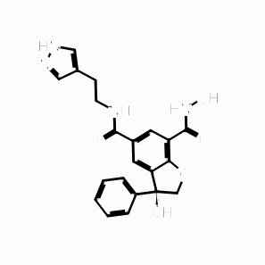 CNC(=O)c1cc(C(=O)NCCc2cn[nH]c2)cc2c1OC[C@]2(C)c1ccccc1